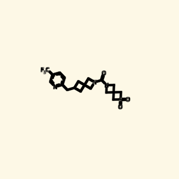 O=C(N1CC2(CC(Cc3ccc(C(F)(F)F)cn3)C2)C1)N1CC2(C1)CS(=O)(=O)C2